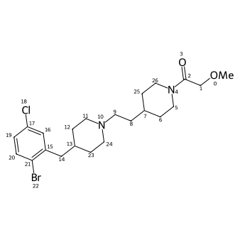 COCC(=O)N1CCC(CCN2CCC(Cc3cc(Cl)ccc3Br)CC2)CC1